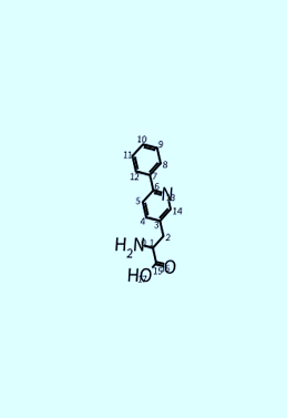 NC(Cc1ccc(-c2ccccc2)nc1)C(=O)O